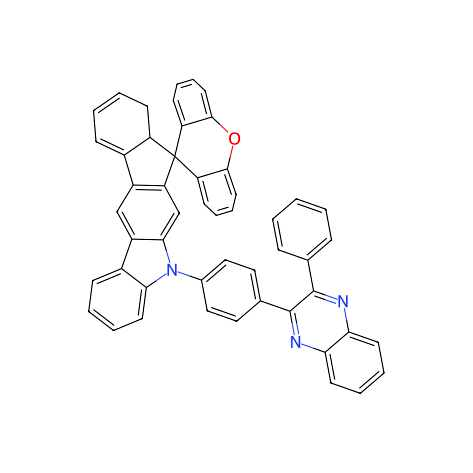 C1=CCC2C(=C1)c1cc3c4ccccc4n(-c4ccc(-c5nc6ccccc6nc5-c5ccccc5)cc4)c3cc1C21c2ccccc2Oc2ccccc21